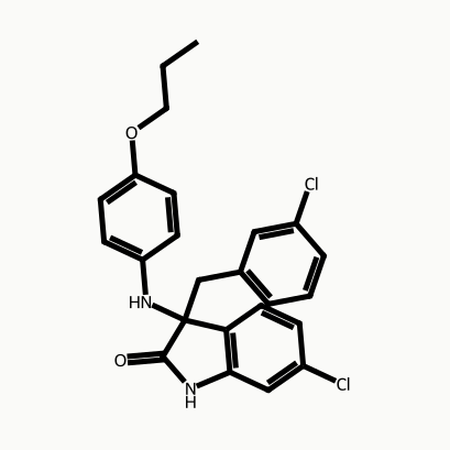 CCCOc1ccc(NC2(Cc3cccc(Cl)c3)C(=O)Nc3cc(Cl)ccc32)cc1